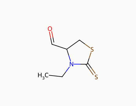 CCN1C(=S)SCC1C=O